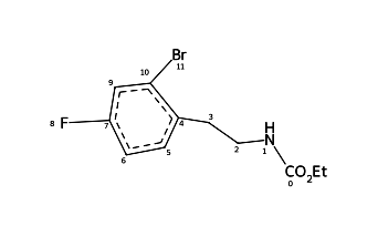 CCOC(=O)NCCc1ccc(F)cc1Br